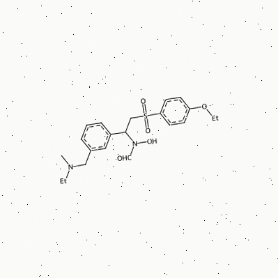 CCOc1ccc(S(=O)(=O)CC(c2cccc(CN(C)CC)c2)N(O)C=O)cc1